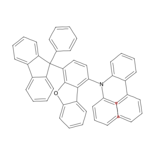 c1ccc(-c2ccccc2N(c2ccccc2)c2ccc(C3(c4ccccc4)c4ccccc4-c4ccccc43)c3oc4ccccc4c23)cc1